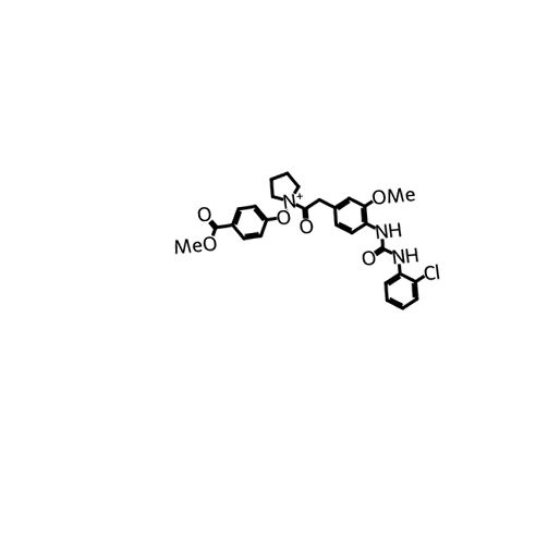 COC(=O)c1ccc(O[N+]2(C(=O)Cc3ccc(NC(=O)Nc4ccccc4Cl)c(OC)c3)CCCC2)cc1